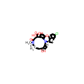 C[C@H]1CC=C[C@H](O)[C@@H]2CC[C@H]2CN2C[C@@]3(CCCc4cc(Cl)ccc43)COc3ccc(cc32)[C@@](O)(C(=O)O)CC(=O)N1C